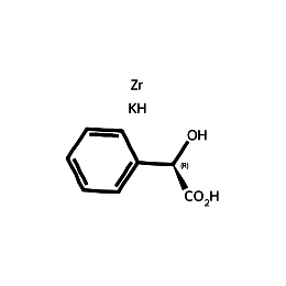 O=C(O)[C@H](O)c1ccccc1.[KH].[Zr]